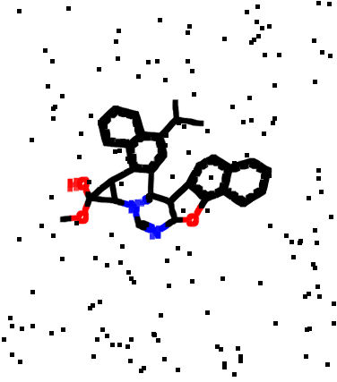 COC1(O)C2c3c(cc(C(C)C)c4ccccc34)C3=[N+](C=NC4Oc5c(ccc6ccccc56)C34)C21